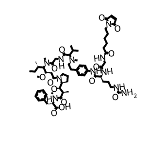 CC[C@H](C)C([C@@H](CC(=O)N1CCC[C@H]1[C@H](OC)[C@@H](C)C(=O)N[C@@H](Cc1ccccc1)C(=O)O)OC)N(C)C(=O)CNC(=O)C(C(C)C)N(C)CCc1ccc(NC(=O)[C@H](CCCNC(N)=O)NC(=O)CNC(=O)CCCCCN2C(=O)C=CC2=O)cc1